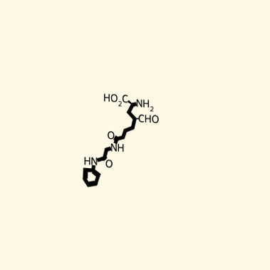 N[C@@H](C[C@H](C=O)CCCC(=O)NCC(=O)Nc1ccccc1)C(=O)O